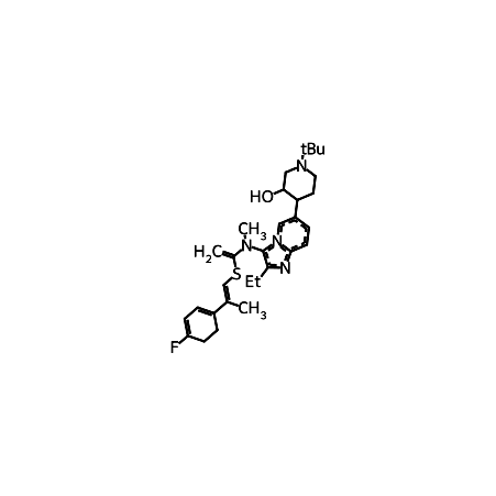 C=C(S/C=C(\C)C1=CC=C(F)CC1)N(C)c1c(CC)nc2ccc(C3CCN(C(C)(C)C)CC3O)cn12